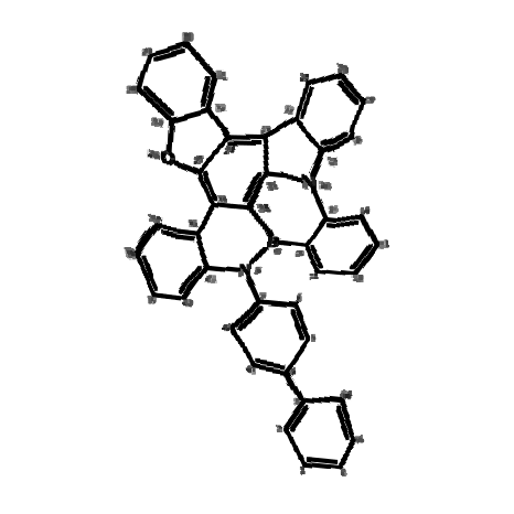 c1ccc(-c2ccc(N3B4c5ccccc5-n5c6ccccc6c6c7c(oc8ccccc87)c(c4c65)-c4ccccc43)cc2)cc1